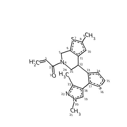 C=CC(=O)N1Cc2sc(C)cc2C(c2ccsc2-c2cn(C)nc2C)C1